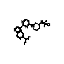 CS(C)(=O)=NC1CCCN(c2ccnc(-c3cnc4cnc(C(F)F)cn34)n2)C1